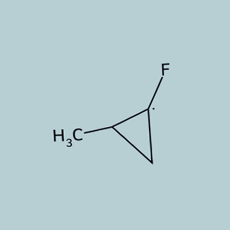 CC1C[C]1F